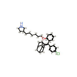 Clc1ccc(C(=C2C3CC4CC(C3)CC2C4)c2ccccc2OCCCCCCC2CCNC2)cc1